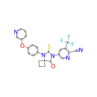 N#Cc1ncc(N2C(=O)C3(CCC3)N(c3ccc(Oc4cccnc4)cc3)C2=S)cc1C(F)(F)F